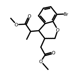 COC(=O)CC1COc2c(Br)cccc2C1C(C)C(=O)OC